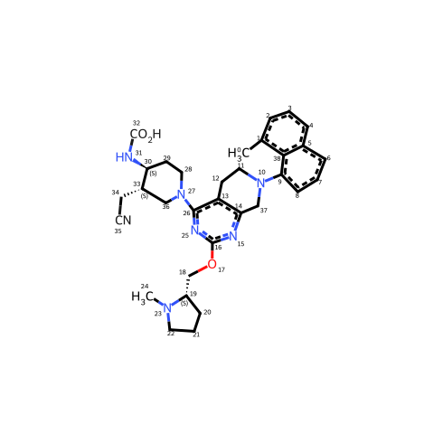 Cc1cccc2cccc(N3CCc4c(nc(OC[C@@H]5CCCN5C)nc4N4CC[C@H](NC(=O)O)[C@@H](CC#N)C4)C3)c12